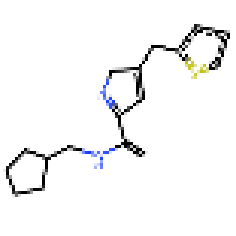 C=C(NCC1CCCC1)C1=NCC(Cc2cccs2)=C1